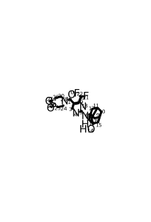 O=C(c1cnc(NC23CC4CC(CC(O)(C4)C2)C3)nc1C(F)F)N1CCS(=O)(=O)CC1